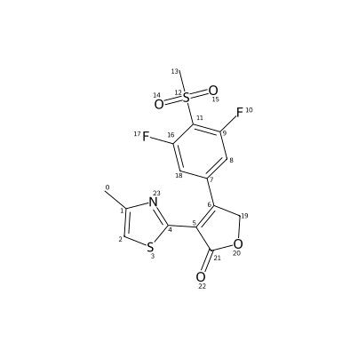 Cc1csc(C2=C(c3cc(F)c(S(C)(=O)=O)c(F)c3)COC2=O)n1